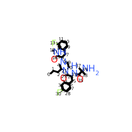 CCCC1CN(C(Cc2cccc(F)c2)C(=O)NC)CCN1C(=O)C(Cc1ccc(F)cc1)NC(=O)C(C)(C)N